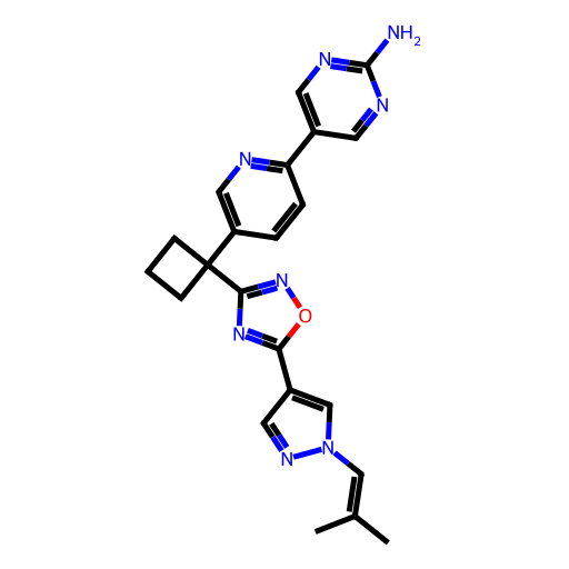 CC(C)=Cn1cc(-c2nc(C3(c4ccc(-c5cnc(N)nc5)nc4)CCC3)no2)cn1